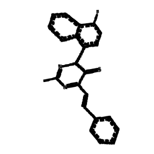 CC1=NC(c2ccc(F)c3ccccc23)C(=S)C(C=Cc2ccccc2)=N1